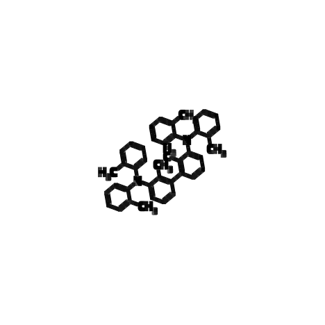 Cc1ccccc1N(c1ccccc1C)c1cccc(-c2cccc(N(c3ccccc3C)c3ccccc3C)c2C)c1C